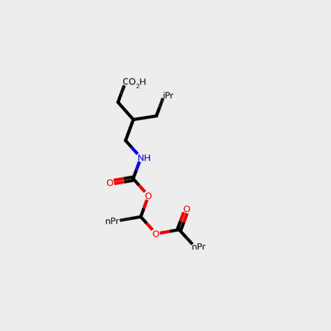 CCCC(=O)OC(CCC)OC(=O)NCC(CC(=O)O)CC(C)C